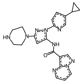 O=C(Nc1cc(N2CCNCC2)nn1-c1ccc(C2CC2)cn1)c1cnn2cccnc12